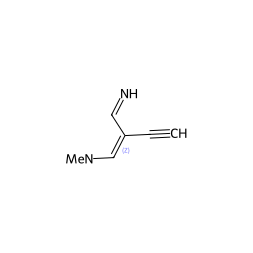 C#C/C(C=N)=C/NC